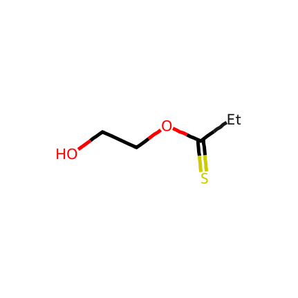 CCC(=S)OCCO